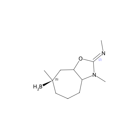 B[C@]1(C)CCCC2C(C1)O/C(=N\C)N2C